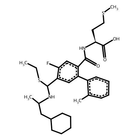 CCSC(NC(C)CC1CCCCC1)c1cc(-c2ccccc2C)c(C(=O)N[C@@H](CCSC)C(=O)O)cc1F